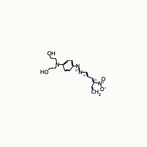 C=C\C(=C/C=C/N=N/c1ccc(N(CCO)CCO)cc1)[N+](=O)[O-]